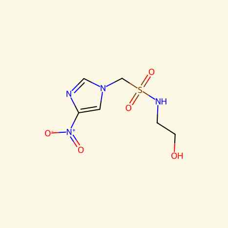 O=[N+]([O-])c1cn(CS(=O)(=O)NCCO)cn1